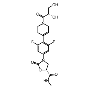 CNC(=O)[C@H]1CN(c2cc(F)c(C3=CCN(C(=O)[C@@H](O)CO)CC3)c(F)c2)C(=O)O1